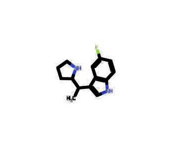 CC(c1c[nH]c2ccc(F)cc12)C1CCCN1